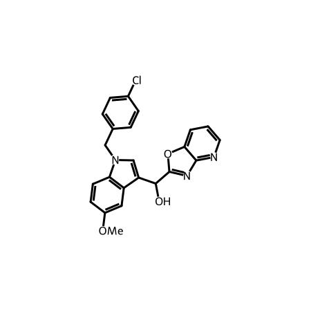 COc1ccc2c(c1)c(C(O)c1nc3ncccc3o1)cn2Cc1ccc(Cl)cc1